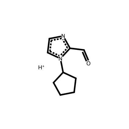 O=Cc1nccn1C1CCCC1.[H+]